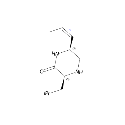 C/C=C\[C@H]1CN[C@@H](CC(C)C)C(=O)N1